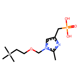 Cc1nc(CP(=O)(O)O)cn1COCC[Si](C)(C)C